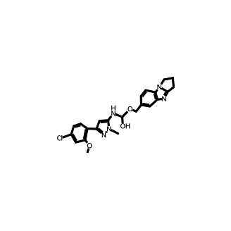 COc1cc(Cl)ccc1-c1cc(NC(O)OCc2ccc3c(c2)nc2n3CCC2)n(C)n1